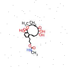 CNC(=O)OCCCc1ccc(O)c2c1/C=C/C[C@H](O)[C@H](O)C(=O)/C=C\[C@H](C)[C@H](C)OC2=O